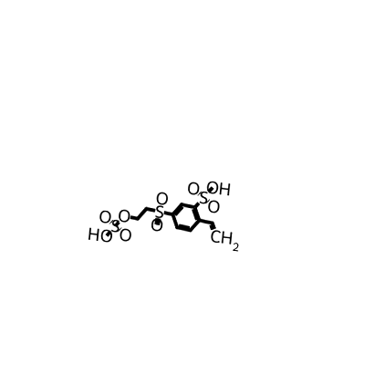 C=Cc1ccc(S(=O)(=O)CCOS(=O)(=O)O)cc1S(=O)(=O)O